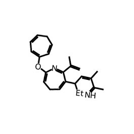 C=C(C)C1=NC(OC2=CC=CCC=C2)=CCC=C1C(C=C(C)C(C)=N)CC